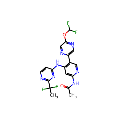 CC(=O)Nc1cc(Nc2ccnc(C(C)(F)F)n2)c(-c2cnc(OC(F)F)cn2)cn1